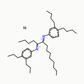 CCCCCCCCC(=N\c1ccc(CCCC)c(CCCC)c1)/C(CCCC)=N/c1ccc(CCC)c(CCC)c1.[Ni]